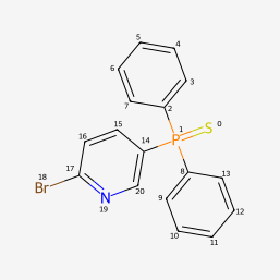 S=P(c1ccccc1)(c1ccccc1)c1ccc(Br)nc1